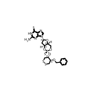 Nc1nc2c(ncn2[C@H]2C[C@@H]3OP(=S)(O[C@H]4CSSC[C@@H]4OCc4ccccc4)OC[C@H]3O2)c(=S)[nH]1